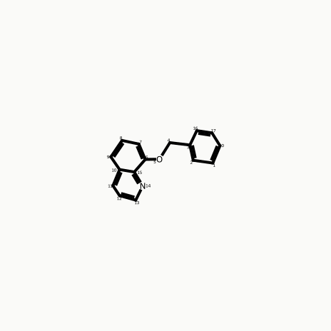 c1ccc(COc2cccc3cccnc23)cc1